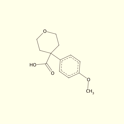 COc1ccc(C2(C(=O)O)CCOCC2)cc1